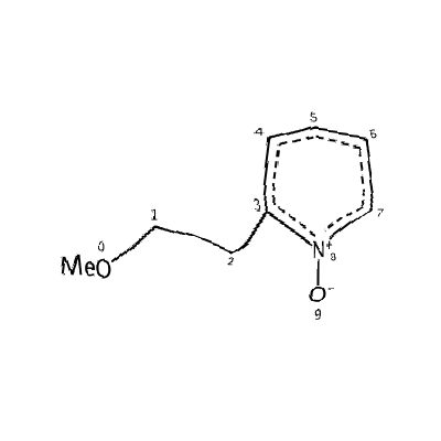 COCCc1cccc[n+]1[O-]